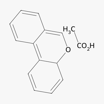 C1=CC2=c3ccccc3=COC2C=C1.CC(=O)O